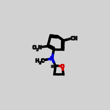 CN(c1cc(C#N)ccc1[N+](=O)[O-])[C@@H]1CCO1